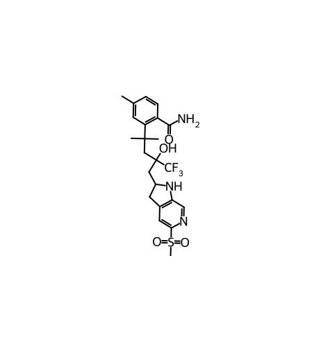 Cc1ccc(C(N)=O)c(C(C)(C)CC(O)(CC2Cc3cc(S(C)(=O)=O)ncc3N2)C(F)(F)F)c1